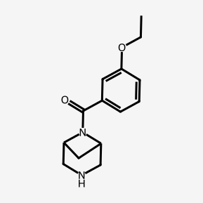 CCOc1cccc(C(=O)N2C3CNCC2C3)c1